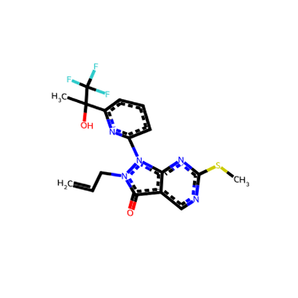 C=CCn1c(=O)c2cnc(SC)nc2n1-c1cccc(C(C)(O)C(F)(F)F)n1